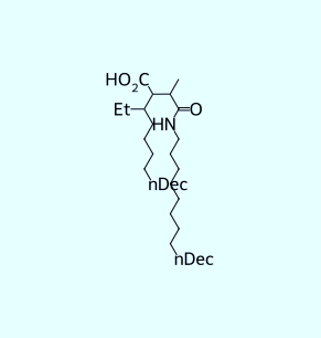 CCCCCCCCCCCCCCCCCCNC(=O)C(C)C(C(=O)O)C(CC)CCCCCCCCCCCCCC